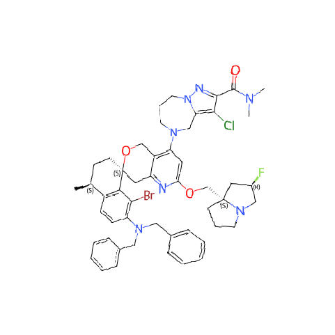 C[C@H]1CC[C@]2(Cc3nc(OC[C@@]45CCCN4C[C@H](F)C5)cc(N4CCCn5nc(C(=O)N(C)C)c(Cl)c5C4)c3CO2)c2c1ccc(N(Cc1ccccc1)Cc1ccccc1)c2Br